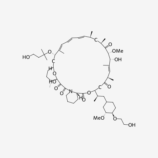 CO[C@@H]1CC(C[C@@H](C)C2CC(=O)[C@H](C)/C=C(\C)[C@@H](O)[C@@H](OC)C(=O)[C@H](C)C[C@H](C)/C=C/C=C/C=C(\C)[C@@H](OC(C)(C)CCO)C[C@@H]3CC[C@@H](C)[C@@](O)(O3)C(=O)C(=O)N3CCCC[C@H]3C(=O)O2)CC[C@H]1OCCO